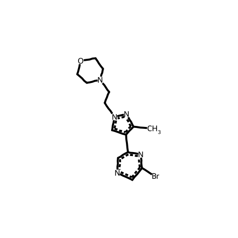 Cc1nn(CCN2CCOCC2)cc1-c1cncc(Br)n1